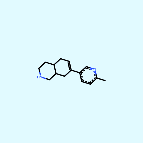 Cc1ccc(C2=CCC3CCNCC3C2)cn1